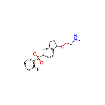 CNCCOC1CCc2cc(S(=O)(=O)c3ccccc3F)ccc21